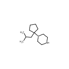 CC(C)CC1(N2CCNCC2)CCCC1